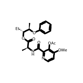 CC[C@@H](OC(=O)[C@H](C)NC(=O)c1nccc(OC)c1OC(C)=O)[C@@H](C)Oc1ccccc1